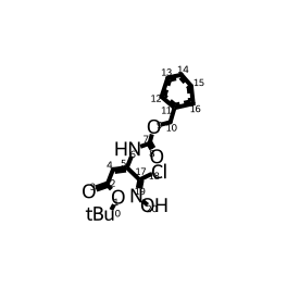 CC(C)(C)OC(=O)C=C(NC(=O)OCc1ccccc1)C(Cl)=NO